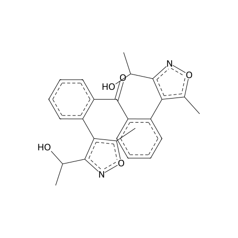 Cc1onc(C(C)O)c1-c1ccccc1C(=O)c1ccccc1-c1c(C(C)O)noc1C